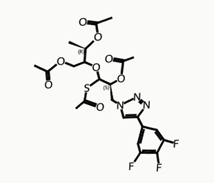 CC(=O)OCC(OC(SC(C)=O)[C@H](Cn1cc(-c2cc(F)c(F)c(F)c2)nn1)OC(C)=O)[C@@H](C)OC(C)=O